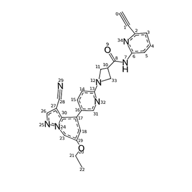 C#Cc1cccc(NC(=O)C2CN(c3ccc(-c4cc(OCC)cn5ncc(C#N)c45)cn3)C2)n1